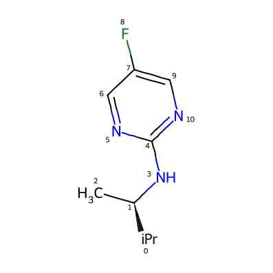 CC(C)[C@@H](C)Nc1ncc(F)cn1